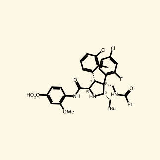 CCC(=O)NC[C@]1(c2ccc(Cl)cc2F)[C@H](CC(C)(C)C)N[C@@H](C(=O)Nc2ccc(C(=O)O)cc2OC)[C@@H]1c1cccc(Cl)c1F